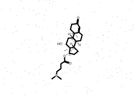 CN(C)CCCC(=O)O[C@H]1CC[C@H]2[C@@H]3CCC4=CC(=O)CC[C@]4(C)[C@H]3CC[C@]12C.Cl